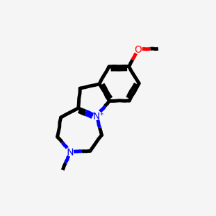 COc1ccc2c(c1)CC1=[N+]2CCN(C)CC1